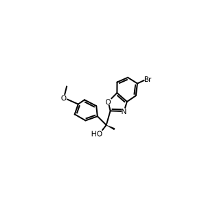 COc1ccc([C@@](C)(O)c2nc3cc(Br)ccc3o2)cc1